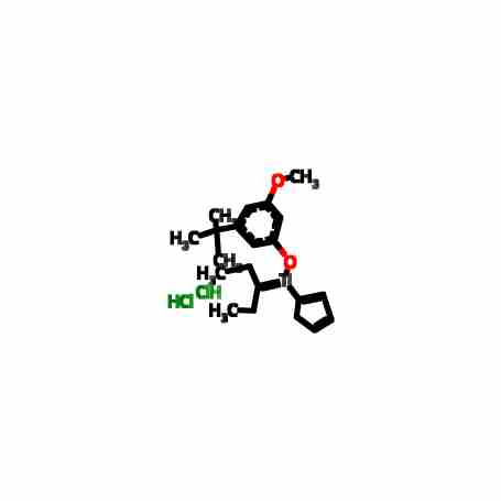 CC[C](CC)=[Ti]([O]c1cc(OC)cc(C(C)(C)C)c1)[C]1=CC=CC1.Cl.Cl